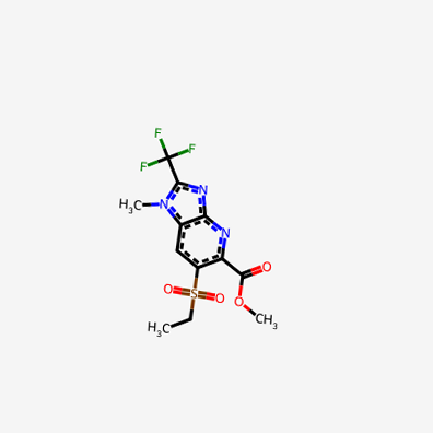 CCS(=O)(=O)c1cc2c(nc1C(=O)OC)nc(C(F)(F)F)n2C